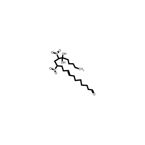 CCCCCC(O)(O)C(CC(CCC=CCCCCCCC=O)[N+](=O)[O-])[N+](=O)[O-]